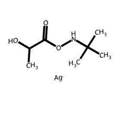 CC(O)C(=O)ONC(C)(C)C.[Ag]